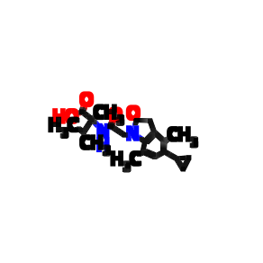 Cc1cc(C2CC2)c(C)c2c1N(CC(=O)NC(C)(C(=O)O)C(C)C)C(=O)C2